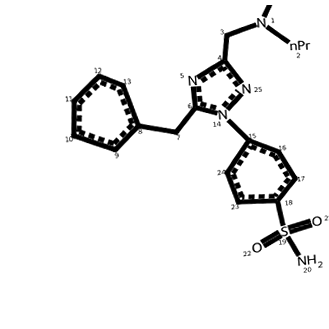 CCCN(CCC)Cc1nc(Cc2ccccc2)n(-c2ccc(S(N)(=O)=O)cc2)n1